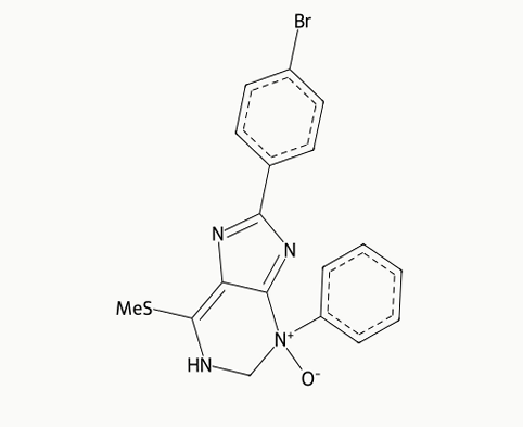 CSC1=C2N=C(c3ccc(Br)cc3)N=C2[N+]([O-])(c2ccccc2)CN1